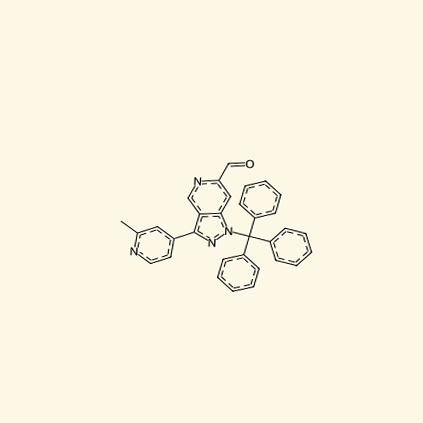 Cc1cc(-c2nn(C(c3ccccc3)(c3ccccc3)c3ccccc3)c3cc(C=O)ncc23)ccn1